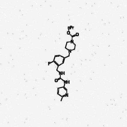 CCCOC(=O)N1CCN(Cc2ccc(F)c(CNC(=O)Nc3ccc(C)nc3)c2)CC1